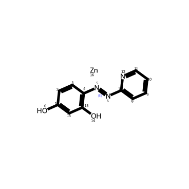 Oc1ccc(/N=N/c2ccccn2)c(O)c1.[Zn]